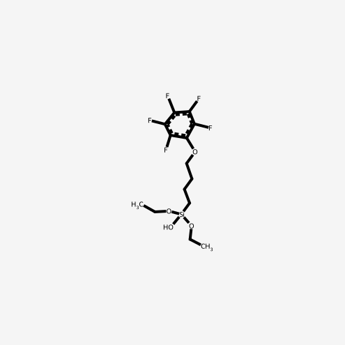 CCO[Si](O)(CCCCOc1c(F)c(F)c(F)c(F)c1F)OCC